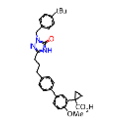 COc1ccc(-c2ccc(CCCc3nn(Cc4ccc(C(C)(C)C)cc4)c(=O)[nH]3)cc2)cc1C1(C(=O)O)CC1